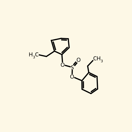 CCc1ccccc1OS(=O)Oc1ccccc1CC